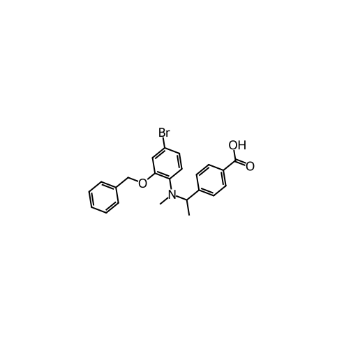 CC(c1ccc(C(=O)O)cc1)N(C)c1ccc(Br)cc1OCc1ccccc1